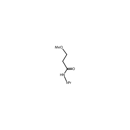 CCCNC(=O)CCOC